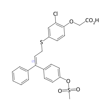 CS(=O)(=O)Oc1ccc(/C(=C\CSc2ccc(OCC(=O)O)c(Cl)c2)c2ccccc2)cc1